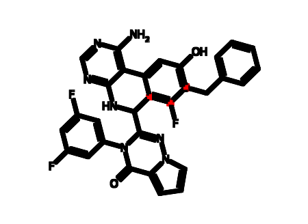 Nc1ncnc(NC(CCOCc2ccccc2)c2nn3cccc3c(=O)n2-c2cc(F)cc(F)c2)c1-c1cc(O)cc(F)c1